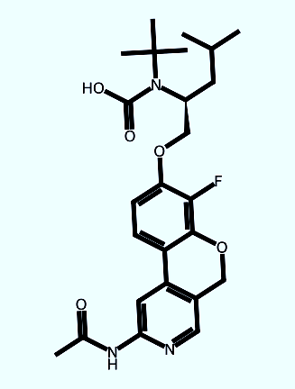 CC(=O)Nc1cc2c(cn1)COc1c-2ccc(OC[C@H](CC(C)C)N(C(=O)O)C(C)(C)C)c1F